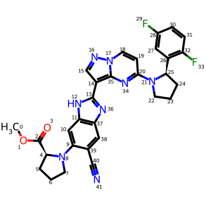 COC(=O)[C@@H]1CCCN1c1cc2[nH]c(-c3cnn4ccc(N5CCC[C@@H]5c5cc(F)ccc5F)nc34)nc2cc1C#N